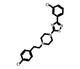 Clc1ccc(CCN2CCN(c3nc(-c4cccc(Cl)c4)ns3)CC2)cc1